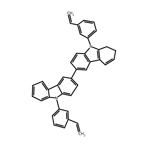 C=Cc1cccc(-n2c3c(c4cc(-c5ccc6c(c5)c5ccccc5n6-c5cccc(C=C)c5)ccc42)C=CCC3)c1